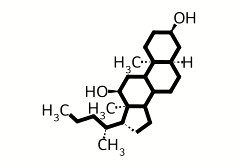 CCC[C@@H](C)[C@H]1CCC2C3CC[C@@H]4C[C@H](O)CC[C@]4(C)C3C[C@H](O)[C@@]21C